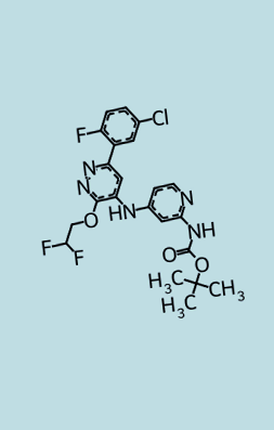 CC(C)(C)OC(=O)Nc1cc(Nc2cc(-c3cc(Cl)ccc3F)nnc2OCC(F)F)ccn1